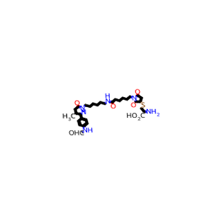 CC1CC(=O)N(CCCCCCNC(=O)CCCCCN2C(=O)CC(SCC(N)C(=O)O)C2=O)N=C1c1ccc(NC=O)cc1